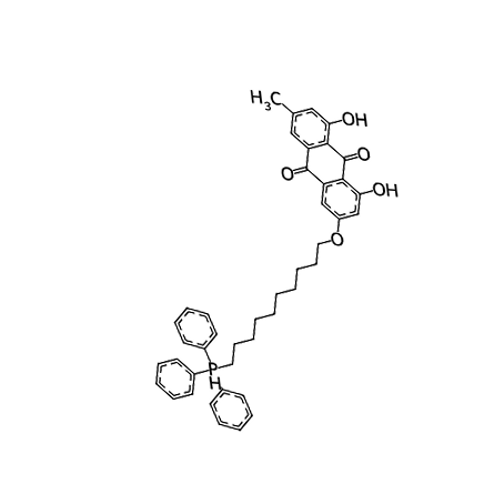 Cc1cc(O)c2c(c1)C(=O)c1cc(OCCCCCCCCCC[PH](c3ccccc3)(c3ccccc3)c3ccccc3)cc(O)c1C2=O